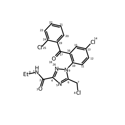 CCNC(=O)c1nc(CCl)n(-c2ccc(Cl)cc2C(=O)c2ccccc2Cl)n1